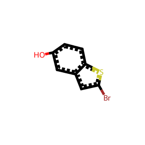 Oc1ccc2sc(Br)cc2c1